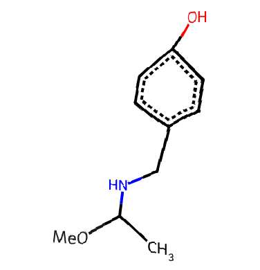 COC(C)NCc1ccc(O)cc1